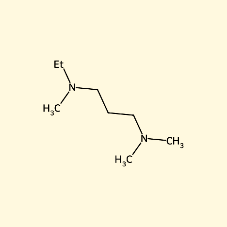 CCN(C)CCCN(C)C